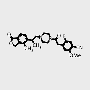 COc1cc(CC(=O)N2CCN(CC(C)c3ccc4c(c3C)COC4=O)CC2)c(F)cc1C#N